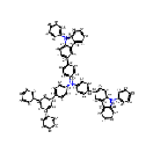 c1ccc(-c2cc(-c3ccccc3)cc(-c3ccc(N(c4ccc(-c5ccc6c(c5)c5ccccc5n6-c5ccccc5)cc4)c4ccc(-c5ccc6c(c5)c5ccccc5n6-c5ccccc5)cc4)cc3)c2)cc1